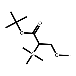 [CH2]OCC(C(=O)OC(C)(C)C)[Si](C)(C)C